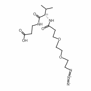 CC(C)[C@H](NC(=O)CCOCCOCCN=[N+]=[N-])C(=O)NCCC(=O)O